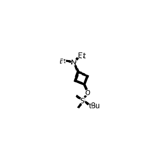 CCN(CC)C1CC(O[Si](C)(C)C(C)(C)C)C1